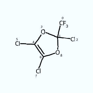 FC(F)(F)C1(Cl)OC(Cl)=C(Cl)O1